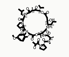 CC[C@H](C)[C@H]1NC(=O)[C@@H](NC(=O)[C@@H](C)N(C)C(=O)[C@@H]2CCCN2C(=O)C(C)=O)[C@@H](C)OC(=O)[C@H](Cc2ccc(OC)cc2)N(C)C(=O)[C@@H]2CCCN2C(=O)[C@H](CC(C)C)NC(=O)[C@@H](C)C(=O)[C@H](C(C)C)OC(=O)C[C@@H]1O